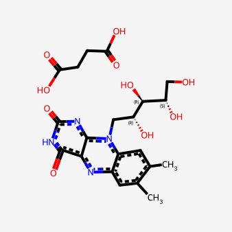 Cc1cc2nc3c(=O)[nH]c(=O)nc-3n(C[C@@H](O)[C@@H](O)[C@@H](O)CO)c2cc1C.O=C(O)CCC(=O)O